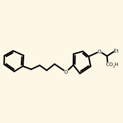 CCC(Oc1ccc(OCCCCc2ccccc2)cc1)C(=O)O